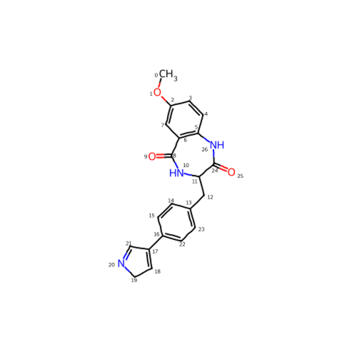 COc1ccc2c(c1)C(=O)NC(Cc1ccc(C3=CCN=C3)cc1)C(=O)N2